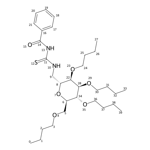 CCCCOC[C@H]1O[C@H](CNC(=S)NC(=O)c2ccccc2)[C@@H](OCCCC)[C@@H](OCCCC)[C@@H]1OCCCC